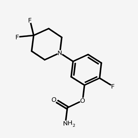 NC(=O)Oc1cc(N2CCC(F)(F)CC2)ccc1F